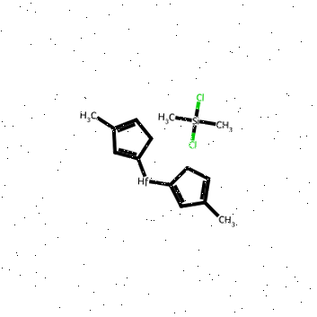 CC1=CC[C]([Hf][C]2=CC(C)=CC2)=C1.C[Si](C)(Cl)Cl